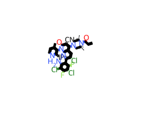 C=CC(=O)N1[C@H](C)CN(c2c(C#N)c(=O)n(-c3c(C)ccnc3C(C)C)c3nc(-c4c(N)c(Cl)c(F)c(Cl)c4F)c(Cl)cc23)C[C@@H]1C